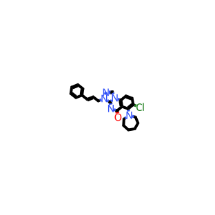 O=c1nc2n(CC=Cc3ccccc3)ncn2c2ccc(Cl)c(N3CCCCCC3)c12